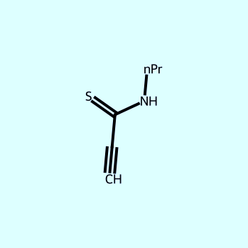 C#CC(=S)NCCC